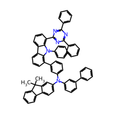 CC1(C)c2ccccc2-c2ccc(N(c3cccc(-c4ccccc4)c3)c3cccc(-c4cccc5c6cccc(-c7nc(-c8ccccc8)nc(-c8ccccc8)n7)c6n(-c6ccccc6)c45)c3)cc21